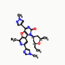 CC[C@H]1C[C@@H](n2c(=O)nc(-c3cnn(C)c3)c3oc4c(C)nc(-c5cn(C)cn5)cc4c32)C[C@@H](C)O1